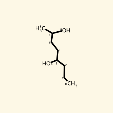 CCCC(O)CCC(C)O